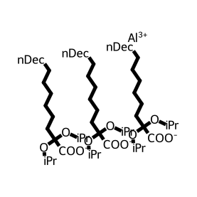 CCCCCCCCCCCCCCCCC(OC(C)C)(OC(C)C)C(=O)[O-].CCCCCCCCCCCCCCCCC(OC(C)C)(OC(C)C)C(=O)[O-].CCCCCCCCCCCCCCCCC(OC(C)C)(OC(C)C)C(=O)[O-].[Al+3]